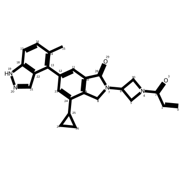 C=CC(=O)N1CC(N2Cc3c(cc(-c4c(C)ccc5[nH]ncc45)cc3C3CC3)C2=O)C1